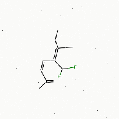 C=C(C)/C=C\C(=C(\C)CC)C(F)F